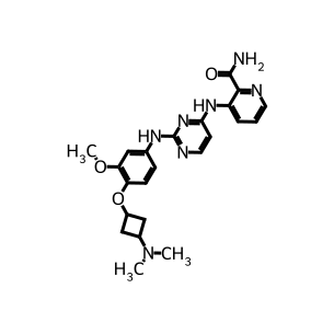 COc1cc(Nc2nccc(Nc3cccnc3C(N)=O)n2)ccc1OC1CC(N(C)C)C1